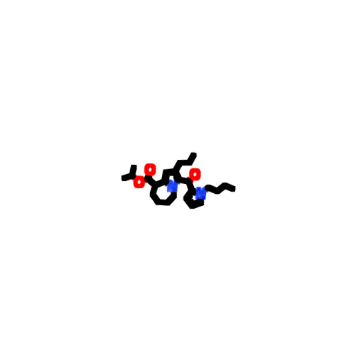 CCCCn1cccc1C(=O)c1c(CCC)cc2n1CCCCC2C(=O)OC(C)C